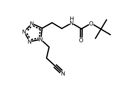 CC(C)(C)OC(=O)NCCc1nnnn1CCC#N